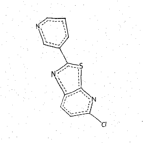 Clc1ccc2nc(-c3cccnc3)sc2n1